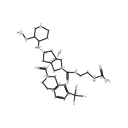 COC1COCCC1N[C@@H]1C[C@H]2CN(C(=O)OCCNC(C)=O)C[C@@]2(C(=O)N2CCc3ccc(C(F)(F)F)cc3C2)C1